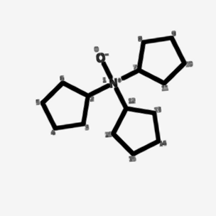 [O-][N+](C1CCCC1)(C1CCCC1)C1CCCC1